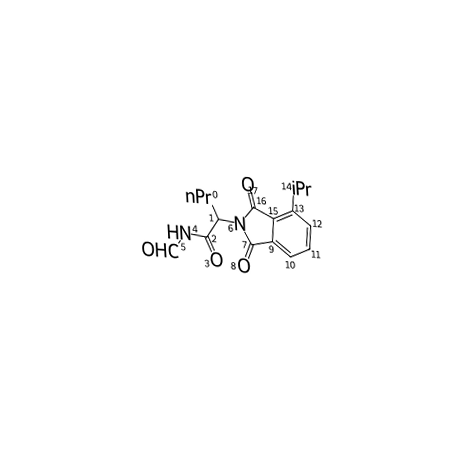 CCCC(C(=O)NC=O)N1C(=O)c2cccc(C(C)C)c2C1=O